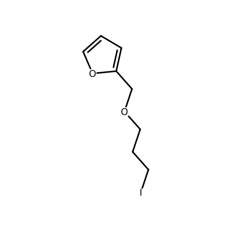 ICCCOCc1ccco1